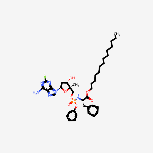 CCCCCCCCCCCCCCOC(=O)[C@H](Cc1ccccc1)NP(=O)(OC[C@@]1(C)O[C@@H](n2cnc3c(N)nc(F)nc32)C[C@@H]1O)Oc1ccccc1